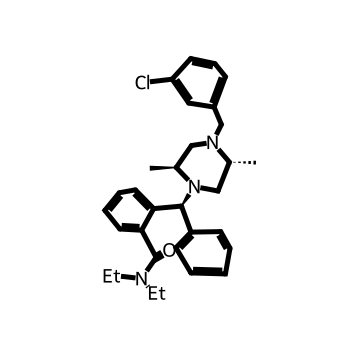 CCN(CC)C(=O)c1ccccc1[C@H](c1ccccc1)N1C[C@@H](C)N(Cc2cccc(Cl)c2)C[C@@H]1C